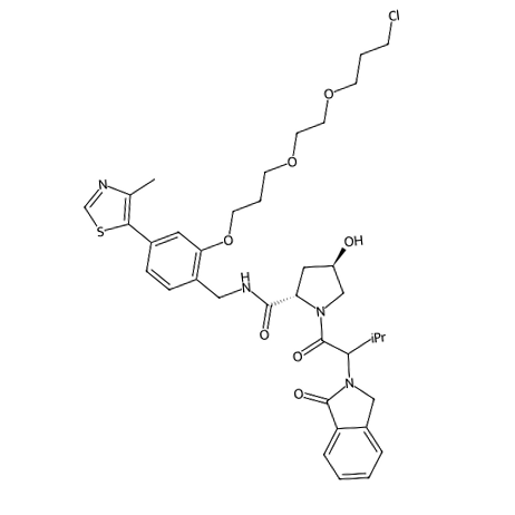 Cc1ncsc1-c1ccc(CNC(=O)[C@@H]2C[C@@H](O)CN2C(=O)C(C(C)C)N2Cc3ccccc3C2=O)c(OCCCOCCOCCCCl)c1